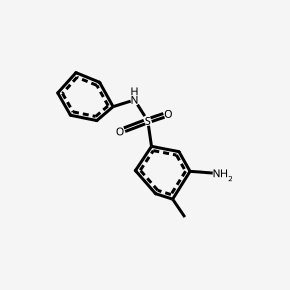 Cc1ccc(S(=O)(=O)Nc2ccccc2)cc1N